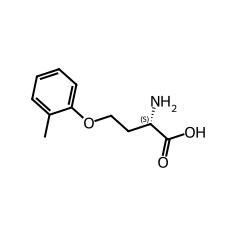 Cc1ccccc1OCC[C@H](N)C(=O)O